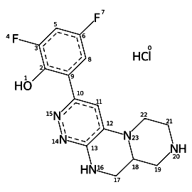 Cl.Oc1c(F)cc(F)cc1-c1cc2c(nn1)NCC1CNCCN21